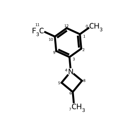 Cc1cc(N2CC(C)C2)cc(C(F)(F)F)c1